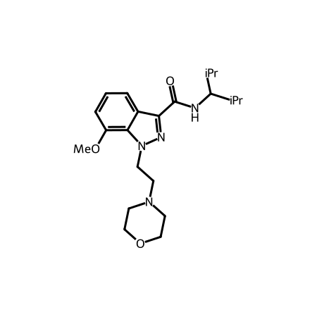 COc1cccc2c(C(=O)NC(C(C)C)C(C)C)nn(CCN3CCOCC3)c12